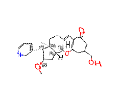 CO[C@@H]1C[C@H]2[C@@H]3OC4=C(C=C3CC[C@]2(C)[C@H]1c1cccnc1)C(=O)CC(CO)C4